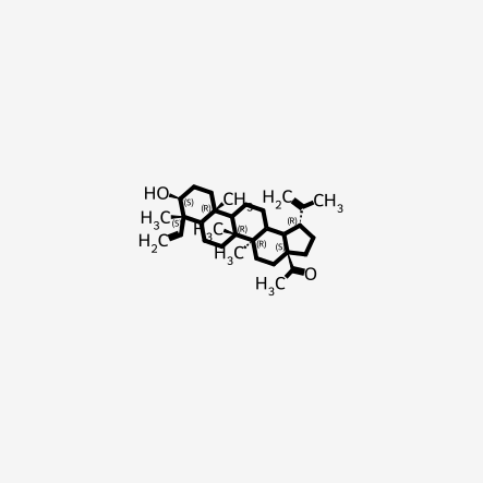 C=C[C@@]1(C)C2CC[C@]3(C)C(CCC4C5[C@H](C(=C)C)CC[C@]5(C(C)=O)CC[C@]43C)[C@@]2(C)CC[C@@H]1O